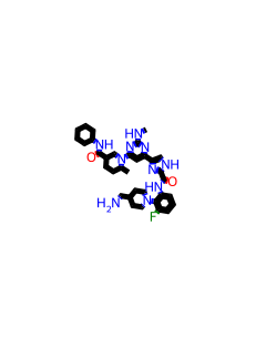 CNc1nc(-c2c[nH]c(C(=O)Nc3cccc(F)c3N3CCC(CN)CC3)n2)cc(N2CC(C(=O)NC3CCCCC3)CCC2C)n1